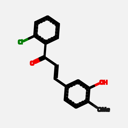 COc1ccc(C=CC(=O)c2ccccc2Cl)cc1O